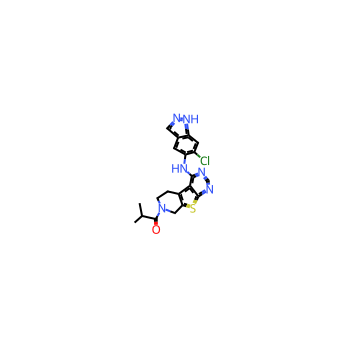 CC(C)C(=O)N1CCc2c(sc3ncnc(Nc4cc5cn[nH]c5cc4Cl)c23)C1